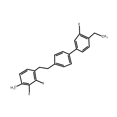 CCc1ccc(-c2ccc(CCc3ccc(C)c(F)c3F)cc2)cc1F